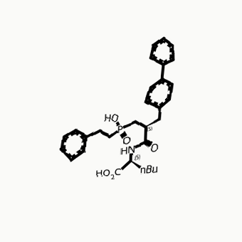 CCCC[C@H](NC(=O)[C@H](Cc1ccc(-c2ccccc2)cc1)CP(=O)(O)CCc1ccccc1)C(=O)O